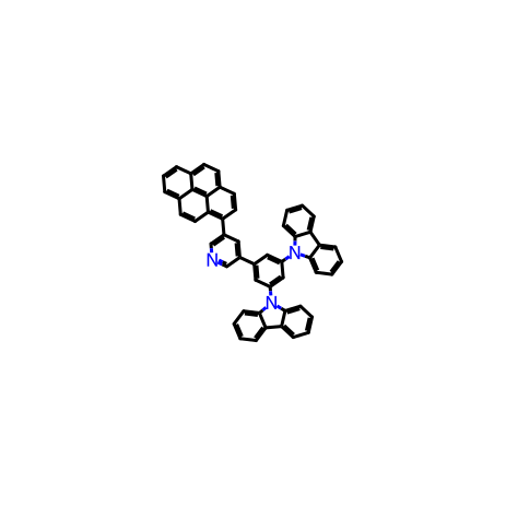 c1cc2ccc3ccc(-c4cncc(-c5cc(-n6c7ccccc7c7ccccc76)cc(-n6c7ccccc7c7ccccc76)c5)c4)c4ccc(c1)c2c34